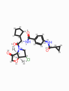 O=C(N[C@H](C(=O)N1C[C@H](Cl)[C@H]2OCC(=O)[C@H]21)C1CCCC1)c1ccc(NC(=O)C2CC2)cc1